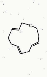 [C]1=C/CC/C=C/C/C=C/CCCC/1